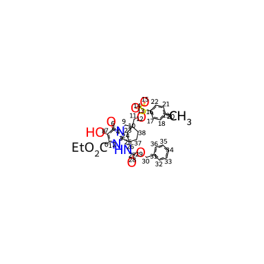 CCOC(=O)c1nc2n(c(=O)c1O)CC1(COS(=O)(=O)c3ccc(C)cc3)CCC2(NC(=O)OCc2ccccc2)CC1